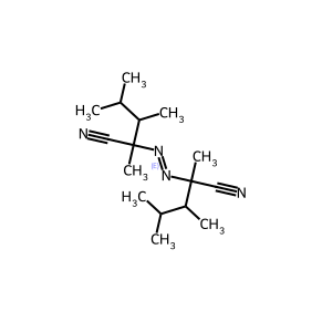 CC(C)C(C)C(C)(C#N)/N=N/C(C)(C#N)C(C)C(C)C